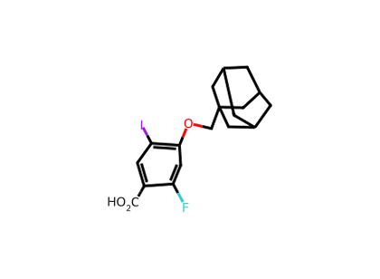 O=C(O)c1cc(I)c(OCC23CC4CC(CC(C4)C2)C3)cc1F